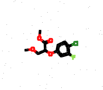 COCC(Oc1ccc(Cl)c(F)c1)C(=O)OC